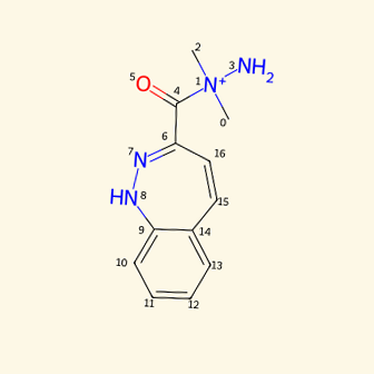 C[N+](C)(N)C(=O)C1=NNc2ccccc2C=C1